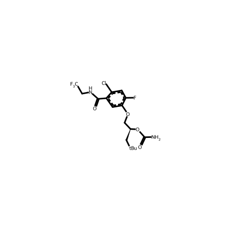 CC(C)(C)C[C@@H](COc1cc(C(=O)NCC(F)(F)F)c(Cl)cc1F)OC(N)=O